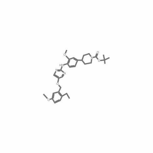 CCc1ccc(OC)cc1COc1cnc(Nc2ccc(C3CCN(C(=O)OC(C)(C)C)CC3)cc2OC)nc1